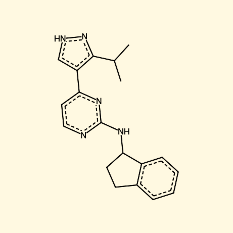 CC(C)c1n[nH]cc1-c1ccnc(NC2CCc3ccccc32)n1